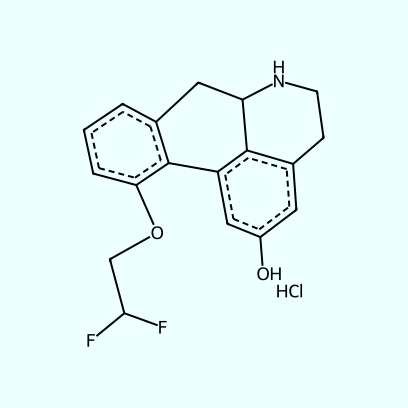 Cl.Oc1cc2c3c(c1)-c1c(cccc1OCC(F)F)CC3NCC2